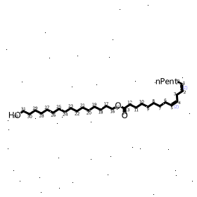 CCCCC/C=C\C/C=C\CCCCCCCC(=O)OCCCCCCCCCCCCCCCCO